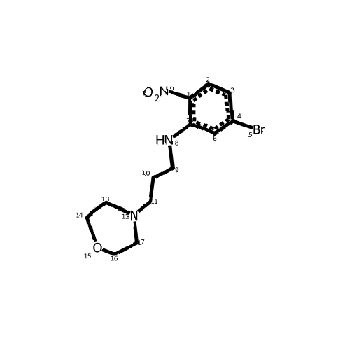 O=[N+]([O-])c1ccc(Br)cc1NCCCN1CCOCC1